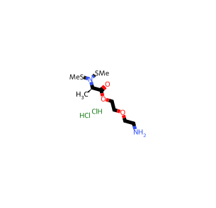 CSN(SC)[C@@H](C)C(=O)OCCOCCN.Cl.Cl